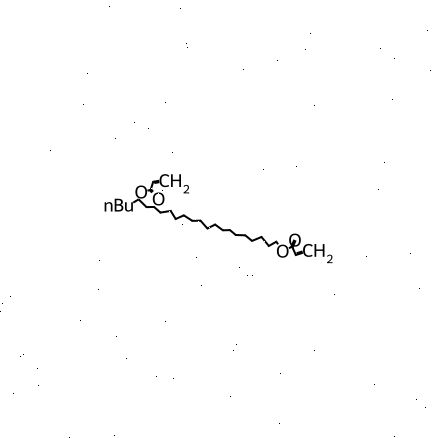 C=CC(=O)OCCCCCCCCCCCCCCCCCCC(CCCC)OC(=O)C=C